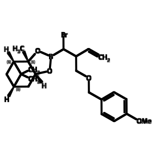 C=CC(COCc1ccc(OC)cc1)C(Br)B1O[C@@H]2C[C@@H]3C[C@@H](C3(C)C)[C@]2(C)O1